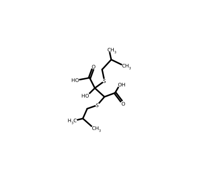 CC(C)CSC(C(=O)O)C(O)(SCC(C)C)C(=O)O